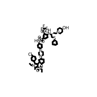 CCn1c(C)c(S(=O)(=O)CC)c(-c2cccc(N3CCN(c4ccc(NS(=O)(=O)c5ccc(N[C@H](CCN6CCC(O)CC6)CSc6ccccc6)c(S(=O)(=O)C(F)(F)F)c5)cc4)CC3)c2)c1-c1ccc(Cl)cc1